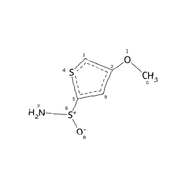 COc1csc([S+](N)[O-])c1